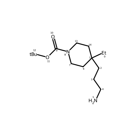 CCC1(CCCN)CCN(C(=O)OC(C)(C)C)CC1